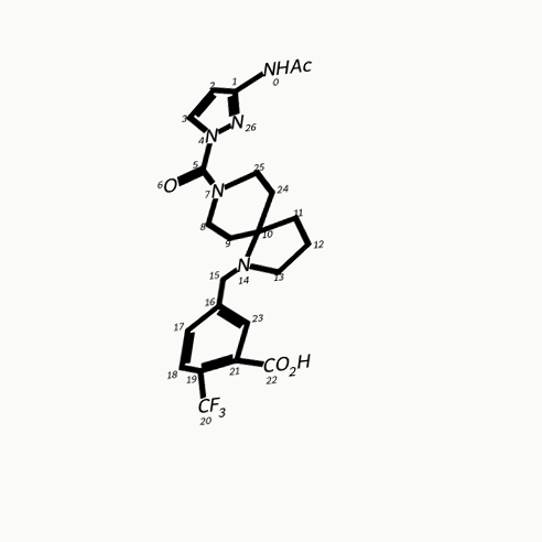 CC(=O)Nc1ccn(C(=O)N2CCC3(CCCN3Cc3ccc(C(F)(F)F)c(C(=O)O)c3)CC2)n1